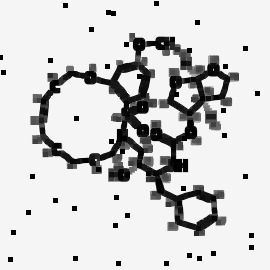 COc1ccc2c(c1)OCCC=CCCCCCN(C[C@@H](O)[C@H](Cc1ccccc1)NC(=O)O[C@H]1CO[C@H]3OCC[C@H]31)S2(=O)=O